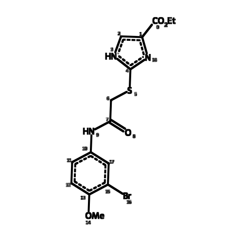 CCOC(=O)c1c[nH]c(SCC(=O)Nc2ccc(OC)c(Br)c2)n1